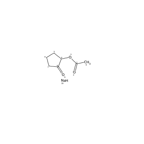 CC(=O)OC1CCCC1=O.[NaH]